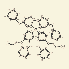 OCCOc1ccc(C2(c3ccc(OCCO)c(Cc4ccccc4)c3)c3cc(Cc4ccccc4)ccc3-c3ccc(Cc4ccccc4)cc32)cc1Cc1ccccc1